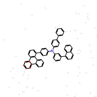 c1ccc(-c2ccc(N(c3ccc(-c4cccc(-c5ccccc5)c4-c4ccccc4-c4ccccc4)cc3)c3cccc(-c4cccc5ccccc45)c3)cc2)cc1